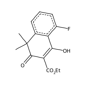 CCOC(=O)C1=C(O)c2c(F)cccc2C(C)(C)C1=O